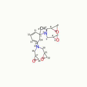 CC1(N(CC2CO2)CC2CO2)C=CC=C(N(CC2CO2)CC2CO2)C1